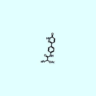 CCCC(OC(C)=O)C(=O)Nc1ccc(-c2ccc(=O)[nH]n2)cc1